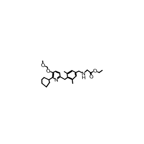 CCOC(=O)CNCc1cc(C)c(Cc2ccc(OCOC)c(C3CCCCC3)n2)c(C)c1